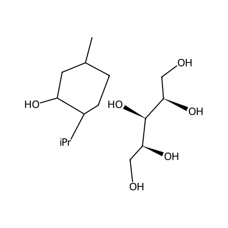 CC1CCC(C(C)C)C(O)C1.OC[C@@H](O)[C@H](O)[C@@H](O)CO